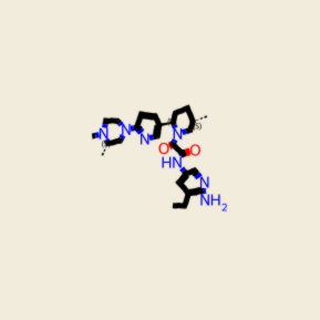 CCc1cc(NC(=O)C(=O)N2C[C@@H](C)CC[C@@H]2c2ccc(N3CCN(C)[C@@H](C)C3)nc2)cnc1N